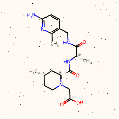 Cc1nc(N)ccc1CNC(=O)[C@H](C)NC(=O)[C@H]1C[C@@H](C)CCN1CC(=O)O